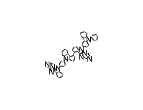 c1ccc(-n2c3ccccc3c3cc(-n4c5cccc(-c6cccc7c6c6ccccc6n7-c6ccc(-n7c8ccccc8c8nc9cnccn9c87)cc6)c5c5nc6cnccn6c54)ccc32)cc1